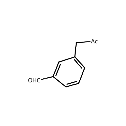 CC(=O)Cc1cccc(C=O)c1